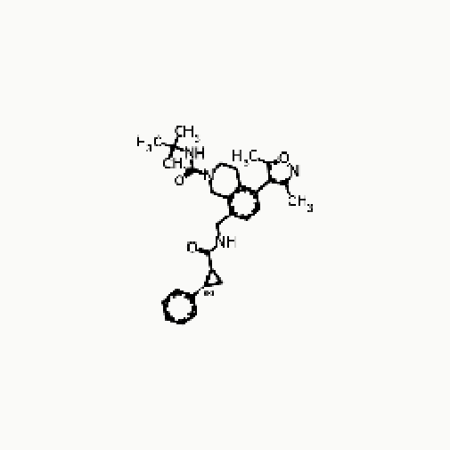 Cc1noc(C)c1-c1ccc(CNC(=O)C2C[C@H]2c2ccccc2)c2c1CCN(C(=O)NC(C)(C)C)C2